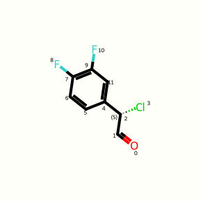 O=C[C@@H](Cl)c1ccc(F)c(F)c1